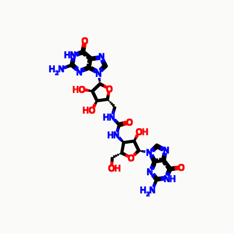 Nc1nc2c(ncn2[C@@H]2O[C@H](CNC(=O)N[C@H]3[C@@H](O)[C@H](n4cnc5c(=O)[nH]c(N)nc54)O[C@@H]3CO)[C@@H](O)[C@H]2O)c(=O)[nH]1